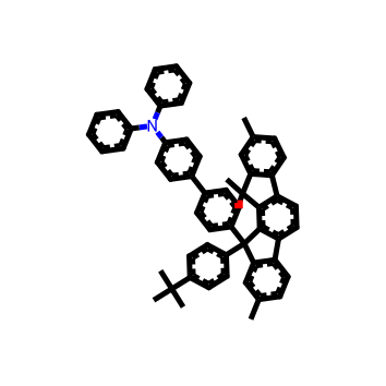 Cc1ccc2c(c1)C(C)(C)c1c-2ccc2c1C(c1ccc(-c3ccc(N(c4ccccc4)c4ccccc4)cc3)cc1)(c1ccc(C(C)(C)C)cc1)c1cc(C)ccc1-2